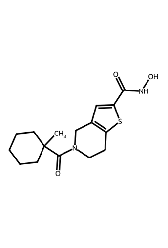 CC1(C(=O)N2CCc3sc(C(=O)NO)cc3C2)CCCCC1